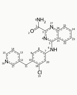 NC(=O)c1nc(Nc2ccc(Cc3cccnc3)c(Cl)c2)c2c[c]ccc2n1